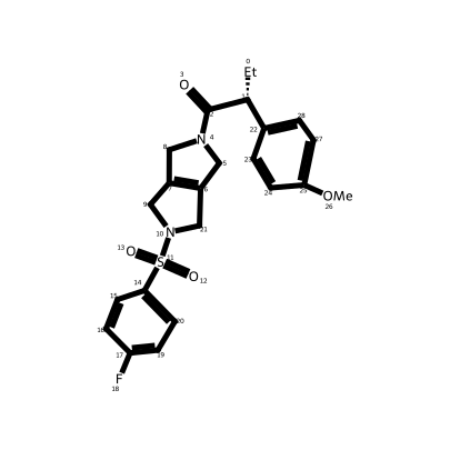 CC[C@@H](C(=O)N1CC2=C(C1)CN(S(=O)(=O)c1ccc(F)cc1)C2)c1ccc(OC)cc1